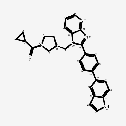 O=C(C1CC1)N1CC[C@@H](Cn2c(-c3ccc(-c4ccc5[nH]ccc5c4)cc3)nc3ncccc32)C1